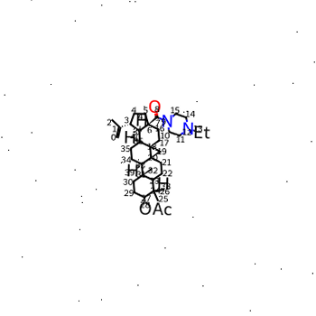 C=C(C)[C@@H]1CC[C@]2(C(=O)N3CCN(CC)CC3)CC[C@@]34C[C@]35CC[C@H]3C(C)(C)C(OC(C)=O)CC[C@]3(C)[C@H]5CC[C@@H]4[C@@H]12